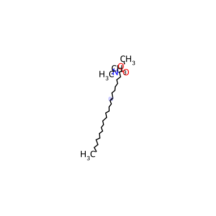 CCCCCCCCCCCCCCCC/C=C/CCCCCCC(C(=O)OCC)N(C)C